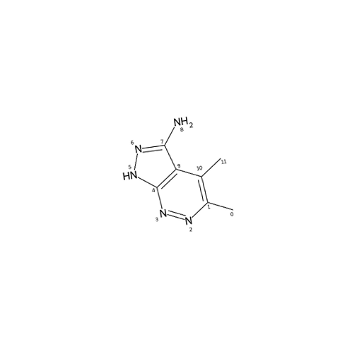 Cc1nnc2[nH]nc(N)c2c1C